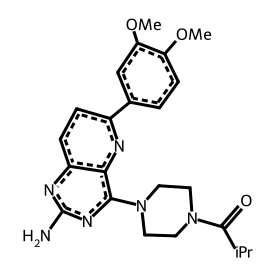 COc1ccc(-c2ccc3nc(N)nc(N4CCN(C(=O)C(C)C)CC4)c3n2)cc1OC